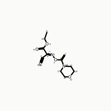 C=C(O/N=C(\C#N)C(=O)OCC)N1CCOCC1